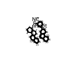 CCCCCCCC1CC=CC2=C1CCc1c2ccc2ccccc12.N#Cc1ccc(-c2ccc3c(ccc4ccccc43)c2)cc1F